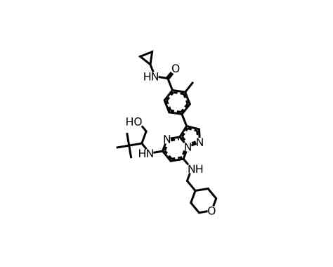 Cc1cc(-c2cnn3c(NCC4CCOCC4)cc(NC(CO)C(C)(C)C)nc23)ccc1C(=O)NC1CC1